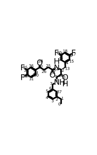 CCc1cccc(CNC[C@H](O)[C@H](Cc2cc(F)cc(F)c2)NC(=O)CCC(=O)c2ccc(F)c(F)c2)c1